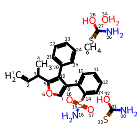 C.C=CC(C)c1occ(-c2ccccc2S(N)(=O)=O)c1-c1ccccc1.NC(O)=S.NC(O)=S.O